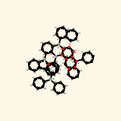 c1ccc(N(c2ccccc2)c2ccc(N(c3cccc(-n4c5ccccc5c5ccccc54)c3N(c3ccc(N(c4ccccc4)c4ccccc4)cc3)c3cccc4ccccc34)c3cccc4ccccc34)cc2)cc1